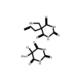 C=CCC1(CC(C)(C)C)C(=O)NC(=O)NC1=O.CCCC(C)C1(CC)C(=O)NC(=O)NC1=O